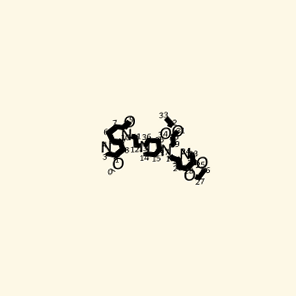 COc1cnc2ccc(=O)n(CCN3CCC(N(Cc4cc5c(cn4)OCCO5)CC4OC(C)O4)CC3)c2c1